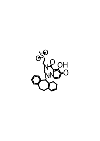 CS(=O)(=O)CCN1CN(C2C3=C(C=CCC3)CCc3ccccc32)n2ccc(=O)c(O)c2C1=O